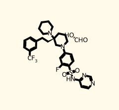 O=CO.O=S(=O)(Nc1ccncn1)c1ccc(N2CCC[C@@](CCc3cccc(C(F)(F)F)c3)(N3CCCCC3)C2)cc1F